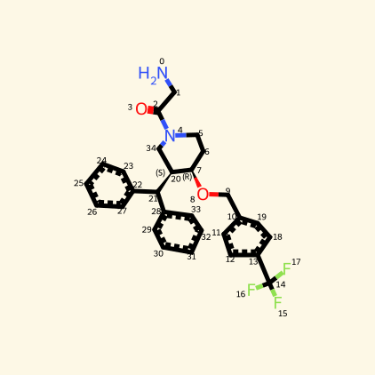 NCC(=O)N1CC[C@@H](OCc2ccc(C(F)(F)F)cc2)[C@@H](C(c2ccccc2)c2ccccc2)C1